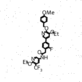 CCOc1cc(-c2ccc(CC(=O)Nc3cnc(OCC)c(C(F)(F)F)c3)c(F)c2)cnc1OCc1ccc(OC)cc1